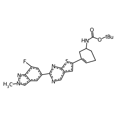 Cn1cc2cc(-c3ncc4cc(C5=CCCC(NC(=O)OC(C)(C)C)C5)sc4n3)cc(F)c2n1